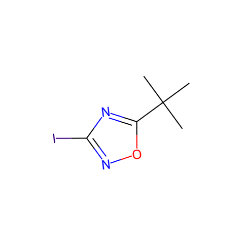 CC(C)(C)c1nc(I)no1